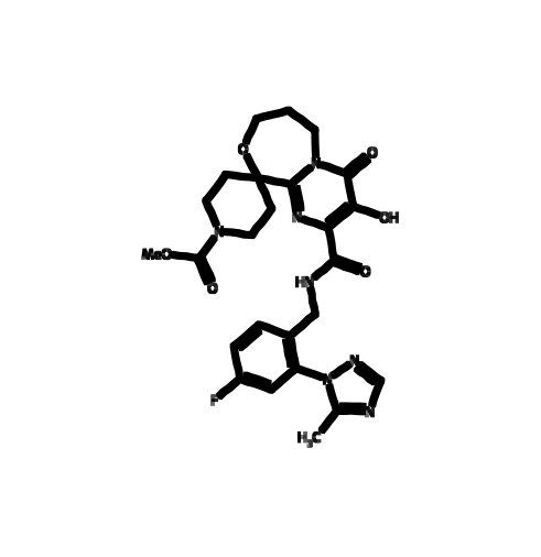 COC(=O)N1CCC2(CC1)OCCCn1c2nc(C(=O)NCc2ccc(F)cc2-n2ncnc2C)c(O)c1=O